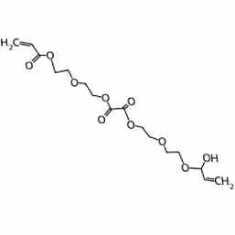 C=CC(=O)OCCOCCOC(=O)C(=O)OCCOCCOC(O)C=C